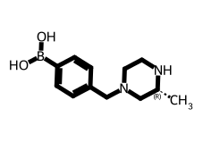 C[C@@H]1CN(Cc2ccc(B(O)O)cc2)CCN1